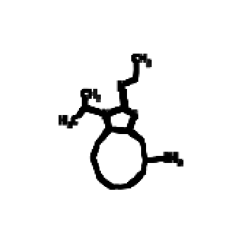 BC1CCCCCCC2C(C1)S/C(=N\CC)N2C(C)C